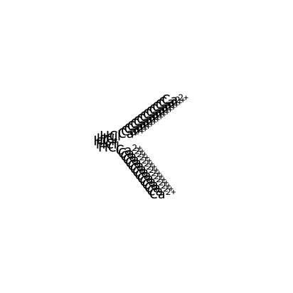 Cl.Cl.Cl.Cl.Cl.[Ca+2].[Ca+2].[Ca+2].[Ca+2].[Ca+2].[Ca+2].[Ca+2].[Ca+2].[Ca+2].[Ca+2].[Ca+2].[Ca+2].[Ca+2].[Ca+2].[Ca+2].[Ca+2].[Ca+2].[Ca+2].[Ca+2].[Ca+2].[Ca+2].[Ca+2].[Ca+2].[Ca+2].[Ca+2].[Ca+2].[Ca+2].[Ca+2].[Ca+2].[Ca+2]